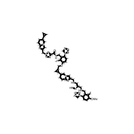 COc1ccc(-n2cnnn2)c(CNC/C(=C/NCc2cn3cc(C4CC4COc4ccc(-n5cnnn5)c(CNC(=O)c5nnn(Cc6cn7cc(C8CC8)ccc7n6)n5)c4F)ccc3n2)N=N)c1F